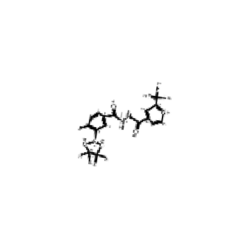 Cc1ccc(C(=O)NNC(=O)c2ccnc(C(F)(F)F)c2)cc1B1OC(C)(C)C(C)(C)O1